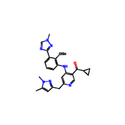 COc1c(Nc2cc(Cc3cc(C)n(C)n3)ncc2C(=O)C2CC2)cccc1-c1ncn(C)n1